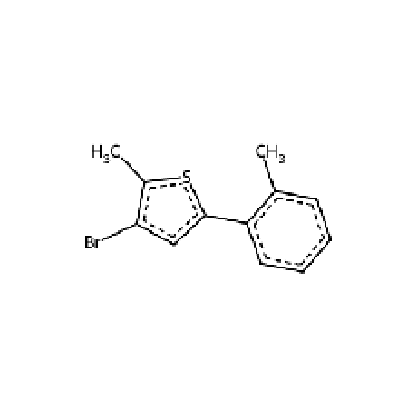 Cc1ccccc1-c1cc(Br)c(C)s1